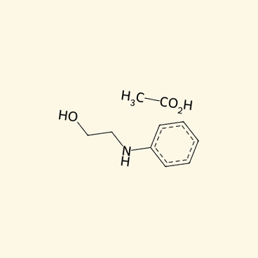 CC(=O)O.OCCNc1ccccc1